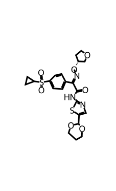 O=C(Nc1ncc(C2OCCCO2)s1)/C(=N/O[C@@H]1CCOC1)c1ccc(S(=O)(=O)C2CC2)cc1